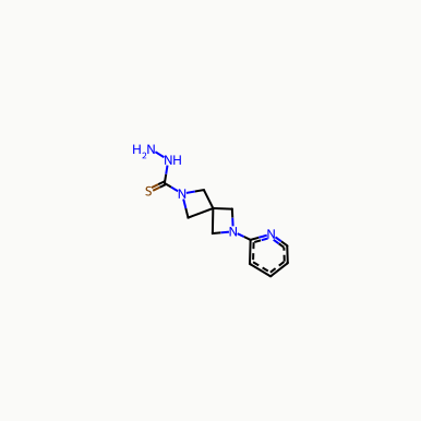 NNC(=S)N1CC2(C1)CN(c1ccccn1)C2